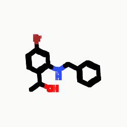 CC(O)c1ccc(Br)cc1NCc1ccccc1